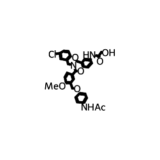 COc1ccc(C2Oc3ccc(NC(=O)CO)cc3C(=O)N2Cc2cccc(Cl)c2)cc1COc1ccc(NC(C)=O)cc1